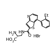 Br.CCc1ccccc1-c1ccnc2cc(C(=O)NC[C@@H](N)C(=O)O)sc12